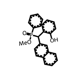 COP(=O)(c1ccccc1)C(c1ccc2ccccc2c1)c1ccccc1O